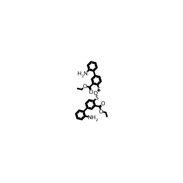 CCOC(=O)c1cc(-c2ccccc2N)ccc1SOSc1ccc(-c2ccccc2N)cc1C(=O)OCC